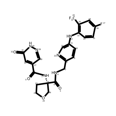 O=C(N[C@@]1(C(=O)NCc2ccc(Nc3ccc(F)cc3C(F)(F)F)cn2)CCOC1)c1cn[nH]c(=O)c1